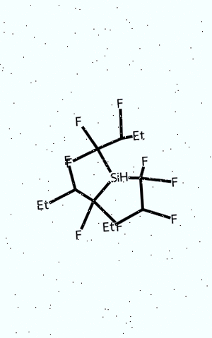 CCC(F)C(F)(F)[SiH](C(F)(F)C(F)CC)C(F)(F)C(F)CC